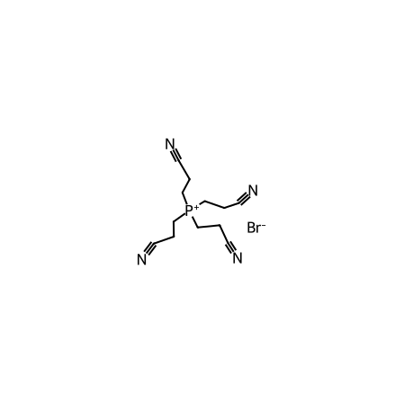 N#CCC[P+](CCC#N)(CCC#N)CCC#N.[Br-]